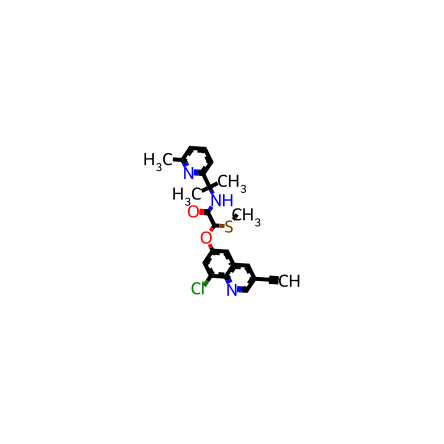 C#Cc1cnc2c(Cl)cc(OC(SC)C(=O)NC(C)(C)c3cccc(C)n3)cc2c1